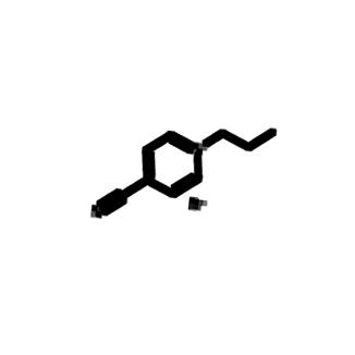 CCC[n+]1ccc(C#N)cc1.[Br-]